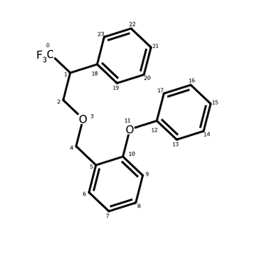 FC(F)(F)C(COCc1ccccc1Oc1ccccc1)c1ccccc1